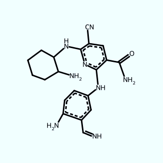 N#Cc1cc(C(N)=O)c(Nc2ccc(N)c(C=N)c2)nc1NC1CCCCC1N